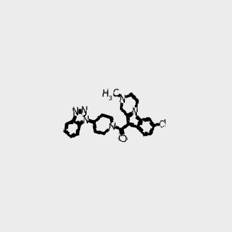 CN1CCn2c(c(C(=O)N3CCC(n4nnc5ccccc54)CC3)c3ccc(Cl)cc32)C1